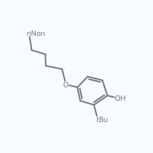 CCCCCCCCCCCC[CH]Oc1ccc(O)c(C(C)(C)C)c1